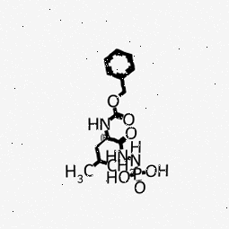 CC(C)C[C@@H](NC(=O)OCc1ccccc1)C(=O)NNP(=O)(O)O